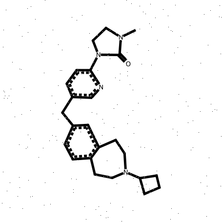 CN1CCN(c2ccc(Cc3ccc4c(c3)CCN(C3CCC3)CC4)cn2)C1=O